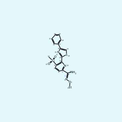 CCO/N=C(\N)c1ccc(S(C)(=O)=O)c(-c2nc(-c3ccccc3)cs2)n1